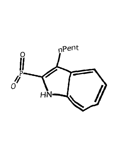 CCCCCc1c(P(=O)=O)[nH]c2ccccc12